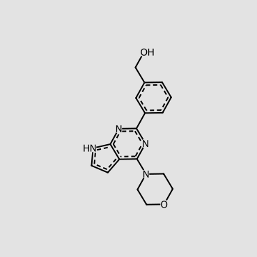 OCc1cccc(-c2nc(N3CCOCC3)c3cc[nH]c3n2)c1